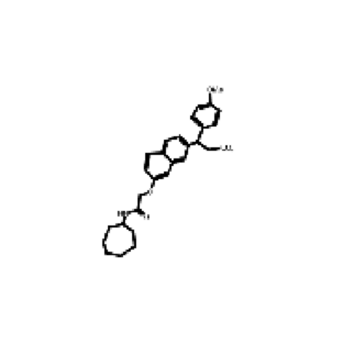 COc1ccc(C(CC(=O)O)c2ccc3ccc(OCC(=O)NC4CCCCCC4)cc3c2)cc1